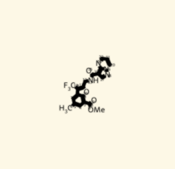 COC(=O)c1cc(C)cc2c(C(F)(F)F)c(CNC(=O)c3cnn4cccnc34)oc12